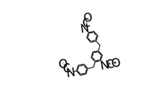 O=C=Nc1ccc(Cc2ccc(Cc3ccc(N=C=O)cc3)c(N=C=O)c2)cc1